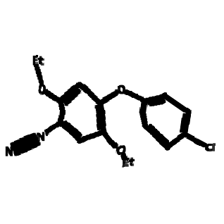 CCOc1cc(Oc2ccc(Cl)cc2)c(OCC)cc1[N+]#N